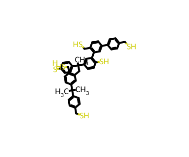 CC(C)(c1ccc(CS)cc1)c1ccc(CS)c(CC(C)(c2ccc(S)cc2)c2ccc(S)c(-c3cc(-c4ccc(CS)cc4)ccc3CS)c2)c1